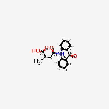 CC(CC(=O)Nc1ccccc1C(=O)c1ccccc1)C(=O)O